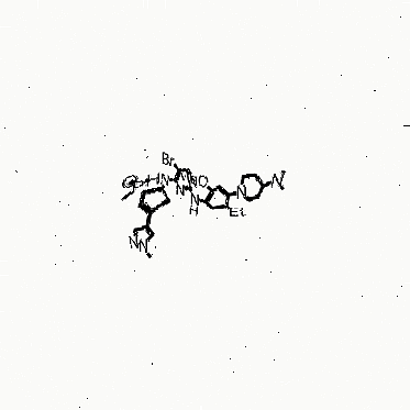 CCc1cc(Nc2ncc(Br)c(Nc3ccc(-c4cnn(C)c4)cc3P(C)(C)=O)n2)c(OC)cc1N1CCC(N(C)C)CC1